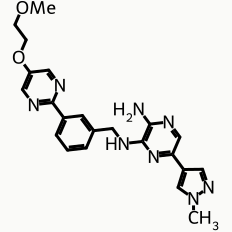 COCCOc1cnc(-c2cccc(CNc3nc(-c4cnn(C)c4)cnc3N)c2)nc1